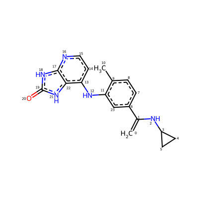 C=C(NC1CC1)c1ccc(C)c(Nc2ccnc3[nH]c(=O)[nH]c23)c1